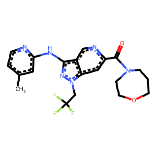 Cc1ccnc(Nc2nn(CC(F)(F)F)c3cc(C(=O)N4CCCOCC4)ncc23)c1